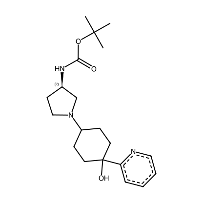 CC(C)(C)OC(=O)N[C@@H]1CCN(C2CCC(O)(c3ccccn3)CC2)C1